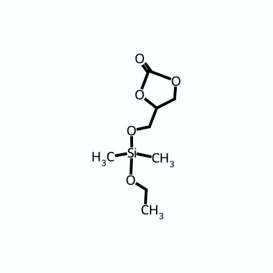 CCO[Si](C)(C)OCC1COC(=O)O1